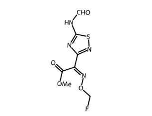 COC(=O)/C(=N\OCF)c1nsc(NC=O)n1